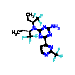 CC[C@H](N(c1nc(N)nc(-c2ccnc(C(F)(F)F)n2)n1)[C@@H](CC)C(F)(F)F)C(F)(F)F